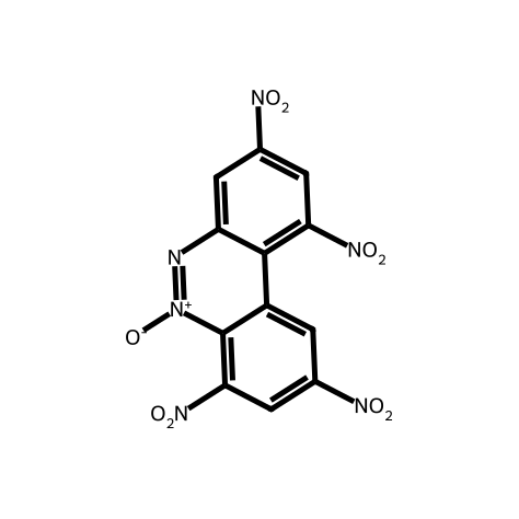 O=[N+]([O-])c1cc([N+](=O)[O-])c2c(c1)n[n+]([O-])c1c([N+](=O)[O-])cc([N+](=O)[O-])cc21